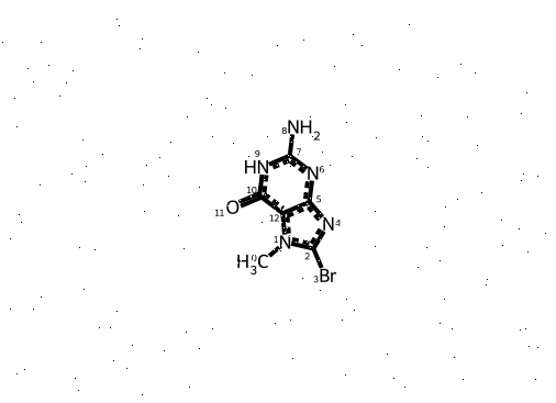 Cn1c(Br)nc2nc(N)[nH]c(=O)c21